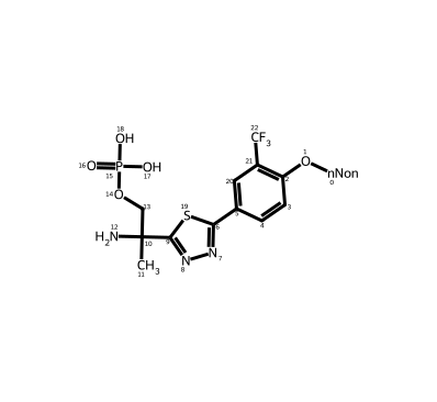 CCCCCCCCCOc1ccc(-c2nnc(C(C)(N)COP(=O)(O)O)s2)cc1C(F)(F)F